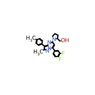 Cc1ccc(-c2c(C)nn3c(-c4ccc(F)c(F)c4)cc(N4CCCC4CO)nc23)cc1